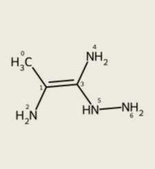 C/C(N)=C(\N)NN